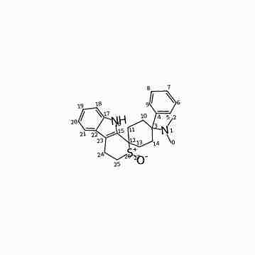 CN(C)C1(c2ccccc2)CCC2(CC1)c1[nH]c3ccccc3c1CC[S+]2[O-]